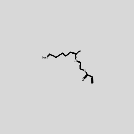 C=CC(=O)OCCOC(C)CCCCCCCCCCCCCC